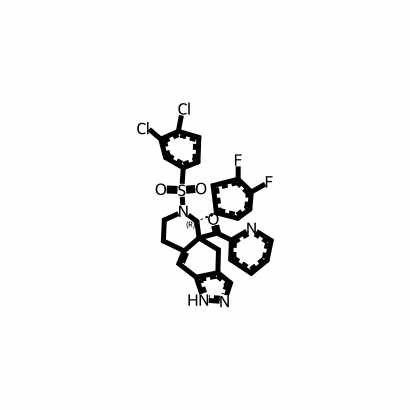 O=C(c1ccccn1)C12Cc3cn[nH]c3C=C1CCN(S(=O)(=O)c1ccc(Cl)c(Cl)c1)[C@@H]2c1ccc(F)c(F)c1